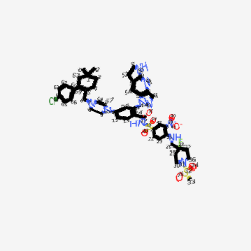 CC1(C)CCC(CN2CCN(c3ccc(C(=O)NS(=O)(=O)c4ccc(NCC5(F)CCN(S(C)(=O)=O)CC5)c([N+](=O)[O-])c4)c(-n4ncc5nc6[nH]ccc6cc54)c3)CC2)=C(c2ccc(Cl)cc2)C1